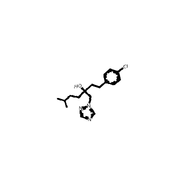 CC(C)CCC(O)(CCc1ccc(Cl)cc1)Cn1cncn1